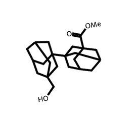 COC(=O)C12CC3CC(C1)CC(C14CC5CC(CC(CO)(C5)C1)C4)(C3)C2